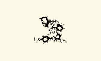 Cc1ccc(-n2nc(C)cc2Nc2ccccc2C(=O)Nc2cccnc2)cc1